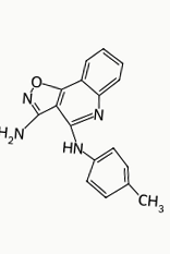 Cc1ccc(Nc2nc3ccccc3c3onc(N)c23)cc1